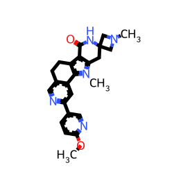 COc1ccc(-c2cc3c(cn2)CCc2c4c(n(C)c2-3)CC2(CN(C)C2)NC4=O)cn1